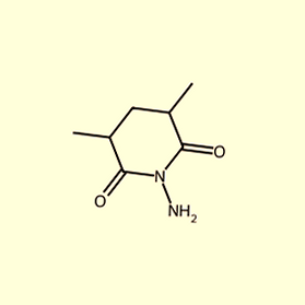 CC1CC(C)C(=O)N(N)C1=O